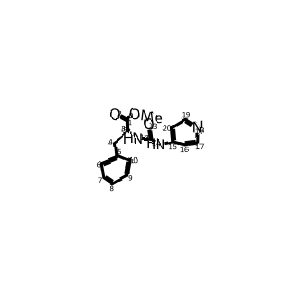 COC(=O)[C@H](Cc1ccccc1)NC(=O)Nc1ccncc1